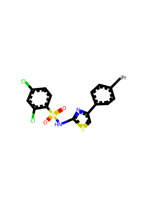 CC(C)c1ccc(-c2csc(NS(=O)(=O)c3ccc(Cl)cc3Cl)n2)cc1